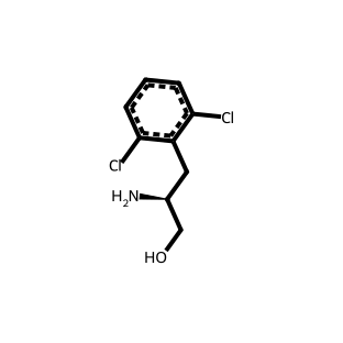 N[C@H](CO)Cc1c(Cl)cccc1Cl